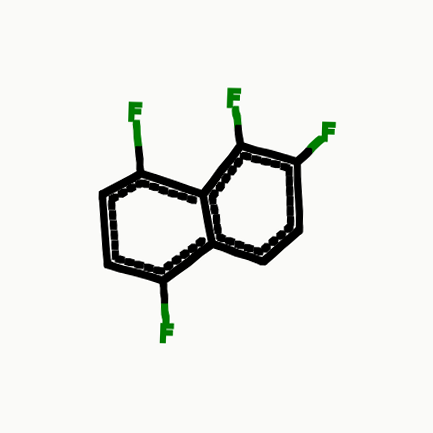 Fc1ccc2c(F)ccc(F)c2c1F